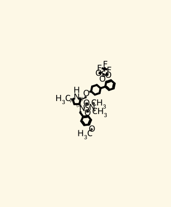 COc1ccc(CN([C@H]2C[C@@H](C)N[C@H]2COC2CCC(c3ccccc3OS(=O)(=O)C(F)(F)F)CC2)S(=O)(=O)N(C)C)cc1